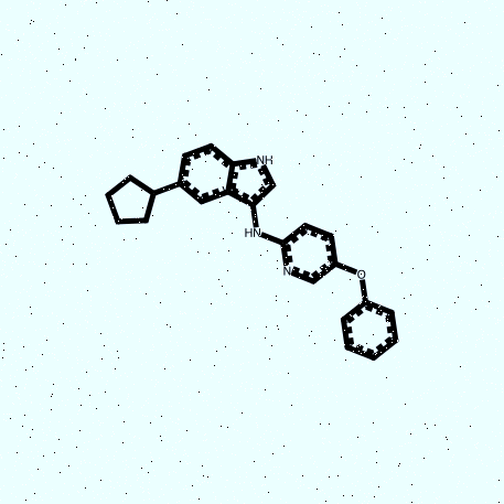 c1ccc(Oc2ccc(Nc3c[nH]c4ccc(C5CCCC5)cc34)nc2)cc1